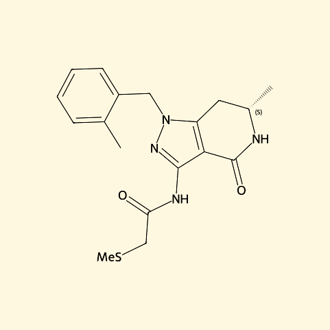 CSCC(=O)Nc1nn(Cc2ccccc2C)c2c1C(=O)N[C@@H](C)C2